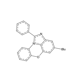 CC(C)(C)c1cc2c3c(c1)nc(-c1ccccc1)n3-c1ccccc1O2